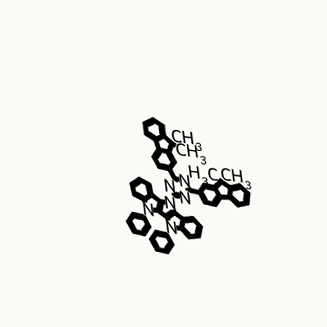 CC1(C)c2ccccc2-c2ccc(-c3nc(-c4ccc5c(c4)C(C)(C)c4ccccc4-5)nc(-n4c5c6ccccc6n(-c6ccccc6)c5c5c4c4ccccc4n5-c4ccccc4)n3)cc21